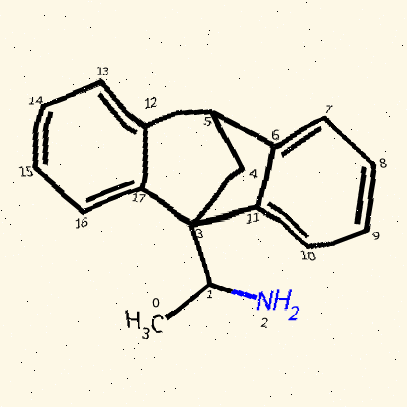 CC(N)C12CC(c3ccccc31)c1ccccc12